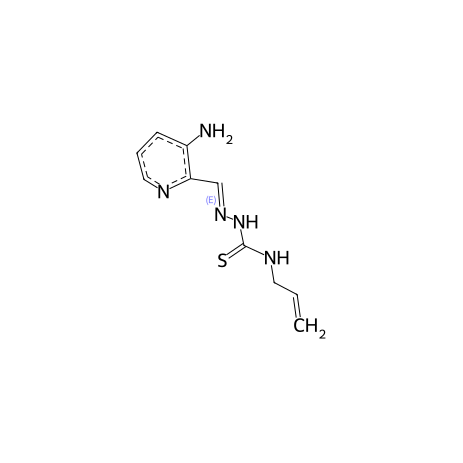 C=CCNC(=S)N/N=C/c1ncccc1N